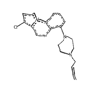 C=CCN1CCN(c2cccc3c2ncc2c(Cl)ccn23)CC1